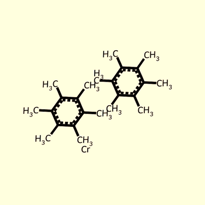 Cc1c(C)c(C)c(C)c(C)c1C.Cc1c(C)c(C)c(C)c(C)c1C.[Cr]